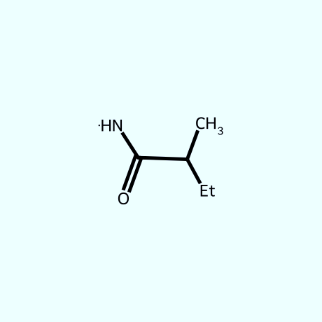 CCC(C)C([NH])=O